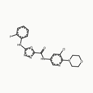 O=C(Nc1cnc(N2CCOCC2)c(Cl)c1)c1nnc(Nc2ccccc2F)o1